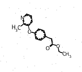 CCOC(=O)Cc1ccc(Oc2cccnc2C)cc1